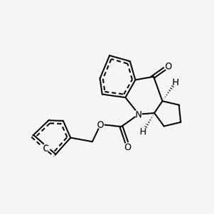 O=C1c2ccccc2N(C(=O)OCc2ccccc2)[C@@H]2CCC[C@H]12